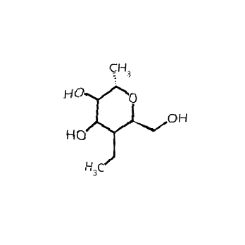 CCC1C(O)C(O)[C@H](C)O[C@H]1CO